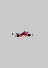 Cc1cc(OCC(=O)NC23CCC(NC(=O)COc4ccc(Cl)cc4)(CC2)[C@@H](O)C3)ccc1F